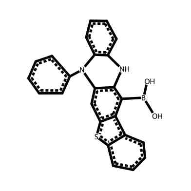 OB(O)c1c2c(cc3sc4ccccc4c13)N(c1ccccc1)c1ccccc1N2